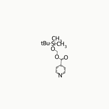 CC(C)(C)[Si](C)(C)OCOC(=O)c1ccncc1